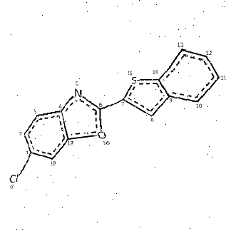 Clc1ccc2nc(-c3cc4ccccc4s3)oc2c1